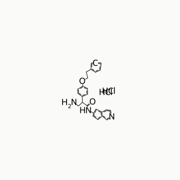 Cl.Cl.NCC(C(=O)Nc1ccc2cnccc2c1)c1ccc(OCCc2ccccc2)cc1